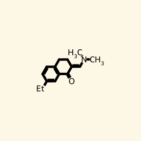 CCc1ccc2c(c1)C(=O)C(=CN(C)C)CC2